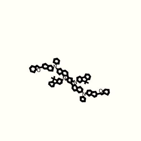 CC1(C)c2ccccc2-c2ccc(-n3c4cc5c6ccc7cc(N(c8ccccc8)c8ccc9cc(-c%10cc%11ccccc%11o%10)ccc9c8)ccc7c6n(-c6ccc7c(c6)C(C)(C)c6ccccc6-7)c5cc4c4ccc5cc(N(c6ccccc6)c6ccc7cc(-c8cc9ccccc9o8)ccc7c6)ccc5c43)cc21